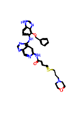 O=C(C=CCSCCCN1CCOCC1)Nc1cc2c(Nc3ccc4[nH]cnc4c3OCc3ccccc3)ncnc2cn1